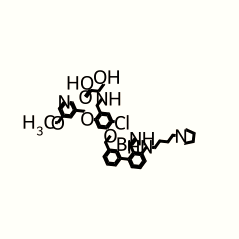 COc1cncc(COc2cc(OCc3cccc(-c4cccc(NCCCCN5CCCC5)c4C=N)c3Br)c(Cl)cc2CNC(CO)C(=O)O)c1